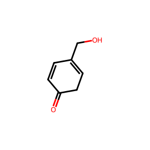 O=C1C=CC(CO)=CC1